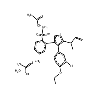 C.C=CC(C)c1scc(-c2ccccc2S(N)(=O)=O)c1-c1ccc(OCC)c(Cl)c1.NC(O)=S.NC(O)=S.O